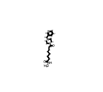 O=C(CCCCCCC(=O)N1CCN(Cc2cccnc2)CC1)NO